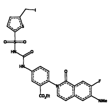 CCOC(=O)c1cc(NC(=O)NS(=O)(=O)c2ccc(CI)s2)ccc1-n1ccc2cc(NC)c(F)cc2c1=O